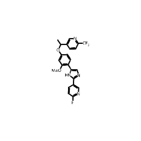 COc1cc(OC(C)c2ccc(C(F)(F)F)nc2)ccc1-c1cnc(-c2ccc(F)nc2)[nH]1